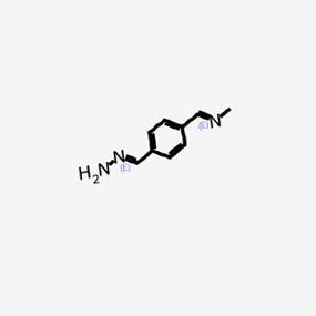 C/N=C/c1ccc(/C=N/N)cc1